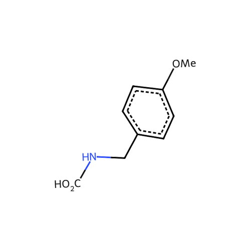 COc1ccc(CNC(=O)O)cc1